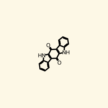 O=C1c2[nH]c3ccccc3c2C(=O)c2[nH]c3ccccc3c21